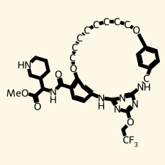 COC(=O)C(NC(=O)c1ccc2cc1OCCCCCCCCOc1ccc(cc1)CNc1nc(nc(OCC(F)(F)F)n1)N2)C1CCCNC1